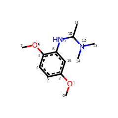 COc1ccc(OC)c(NC(C)N(C)C)c1